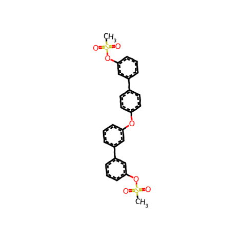 CS(=O)(=O)Oc1cccc(-c2ccc(Oc3cccc(-c4cccc(OS(C)(=O)=O)c4)c3)cc2)c1